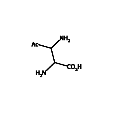 CC(=O)C(N)C(N)C(=O)O